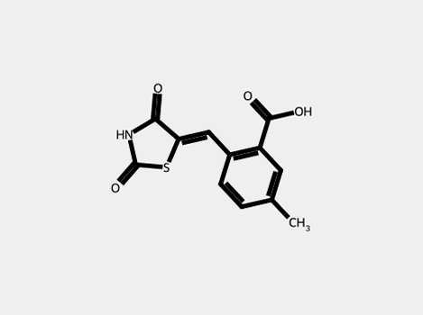 Cc1ccc(/C=C2\SC(=O)NC2=O)c(C(=O)O)c1